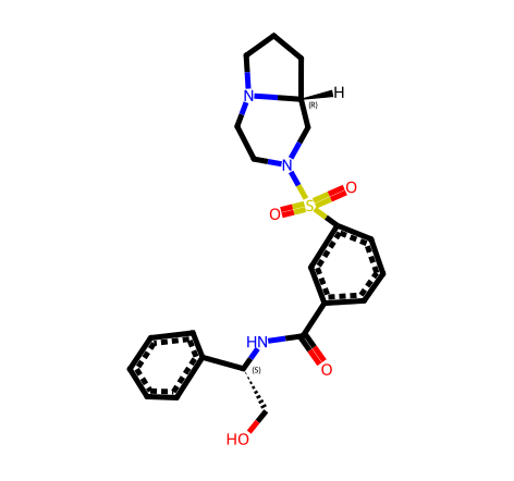 O=C(N[C@H](CO)c1ccccc1)c1cccc(S(=O)(=O)N2CCN3CCC[C@@H]3C2)c1